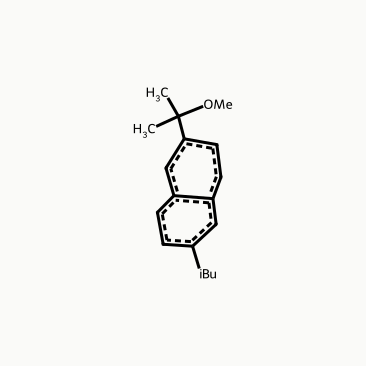 CCC(C)c1ccc2cc(C(C)(C)OC)ccc2c1